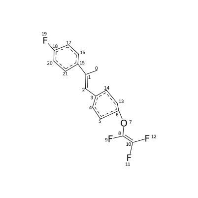 C/C(=C\c1ccc(OC(F)=C(F)F)cc1)c1ccc(F)cc1